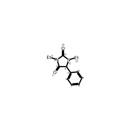 CCN1C(=O)C(c2ccccc2)N(CC)C1=O